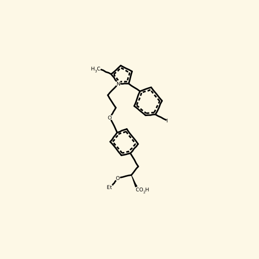 CCO[C@@H](Cc1ccc(OCCn2c(C)ccc2-c2ccc(I)cc2)cc1)C(=O)O